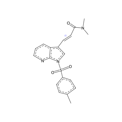 Cc1ccc(S(=O)(=O)n2cc(/C=C/C(=O)N(C)C)c3cccnc32)cc1